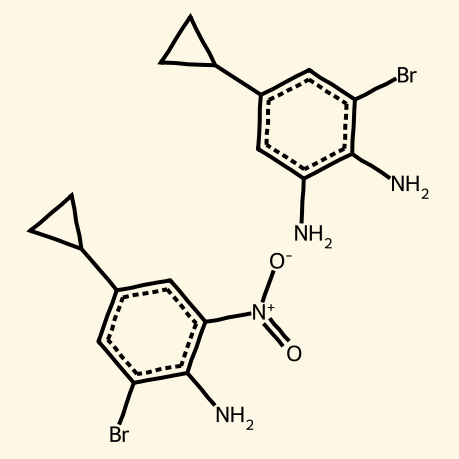 Nc1c(Br)cc(C2CC2)cc1[N+](=O)[O-].Nc1cc(C2CC2)cc(Br)c1N